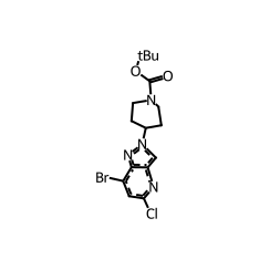 CC(C)(C)OC(=O)N1CCC(n2cc3nc(Cl)cc(Br)c3n2)CC1